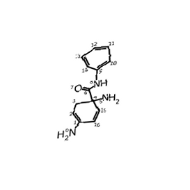 NC1=CCC(N)(C(=O)Nc2ccccc2)C=C1